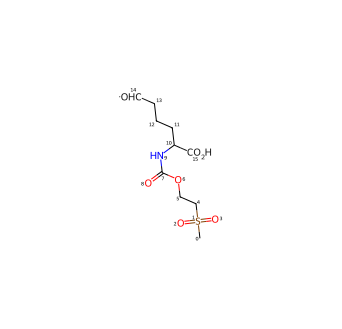 CS(=O)(=O)CCOC(=O)NC(CCC[C]=O)C(=O)O